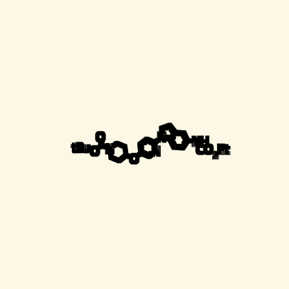 CCOC(=O)Nc1ccc2c(ccn2-c2ccc(OC3CCN(C(=O)OC(C)(C)C)CC3)cn2)c1